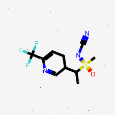 CC(C1C=NC(C(F)(F)F)=CC1)S(C)(=O)=NC#N